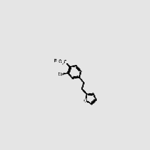 CCOC(=O)c1ccc(CCc2ccco2)cc1CC